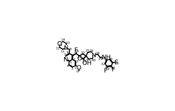 COc1ccc2ncc(CN3CCOCC3)c(C(F)CCC3(C(=O)O)CCN(CCNc4cc(F)c(F)c(F)c4)CC3)c2c1